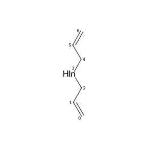 C=C[CH2][InH][CH2]C=C